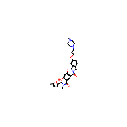 Cc1ccc(CN(C)C(=O)c2cc(C(=O)N3Cc4ccc(OCCCN5CCN(C)CC5)cc4C3)c(O)cc2O)o1